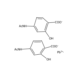 CC(=O)Nc1ccc(C(=O)[O-])c(O)c1.CC(=O)Nc1ccc(C(=O)[O-])c(O)c1.[Pb+2]